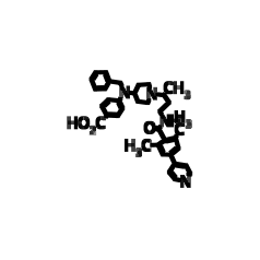 Cc1cc(-c2ccncc2)cc(C)c1C(=O)NCCC(C)N1CCC(N(Cc2ccccc2)c2ccc(C(=O)O)cc2)CC1